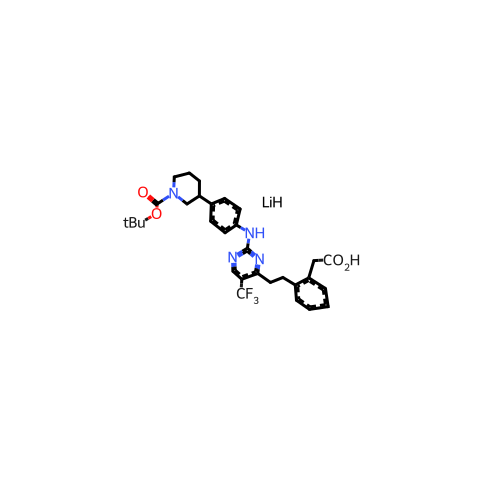 CC(C)(C)OC(=O)N1CCCC(c2ccc(Nc3ncc(C(F)(F)F)c(CCc4ccccc4CC(=O)O)n3)cc2)C1.[LiH]